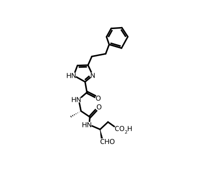 C[C@H](NC(=O)c1nc(CCc2ccccc2)c[nH]1)C(=O)N[C@H](C=O)CC(=O)O